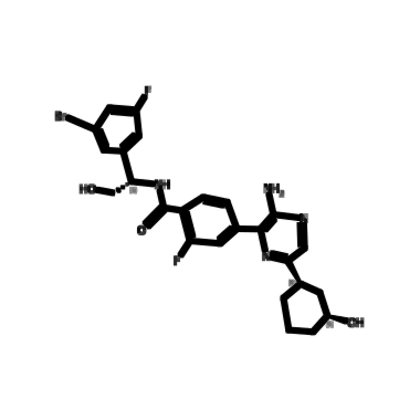 Nc1ncc([C@@H]2CCC[C@H](O)C2)nc1-c1ccc(C(=O)N[C@H](CO)c2cc(F)cc(Br)c2)c(F)c1